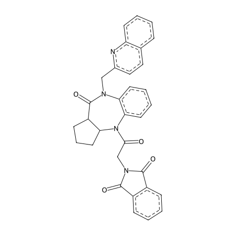 O=C1c2ccccc2C(=O)N1CC(=O)N1c2ccccc2N(Cc2ccc3ccccc3n2)C(=O)C2CCCC21